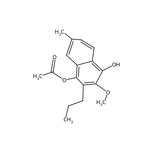 CCCc1c(OC)c(O)c2ccc(C)cc2c1OC(C)=O